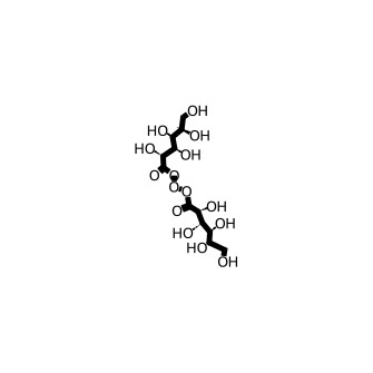 O=C(OOOC(=O)[C@H](O)[C@@H](O)[C@H](O)[C@H](O)CO)[C@H](O)[C@@H](O)[C@H](O)[C@H](O)CO